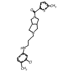 Cc1ccc(C(=O)N2CC3CN(CCCNc4ccc(C)c(Cl)c4)CC3C2)s1